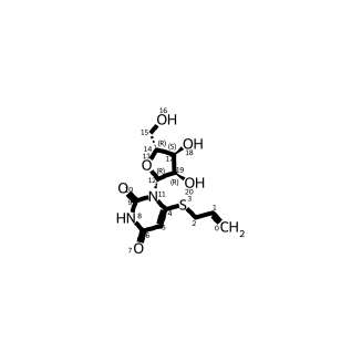 C=CCSc1cc(=O)[nH]c(=O)n1[C@@H]1O[C@H](CO)[C@@H](O)[C@H]1O